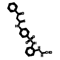 O=CNNc1ccccc1NS(=O)(=O)c1ccc(NC(=S)CC(=O)c2ccccc2)cc1